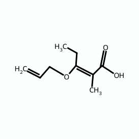 C=CCO/C(CC)=C(\C)C(=O)O